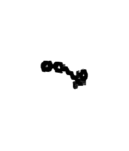 O=C1Nc2ccccc2SC1CCCCN1CC=C(c2ccccc2)CC1